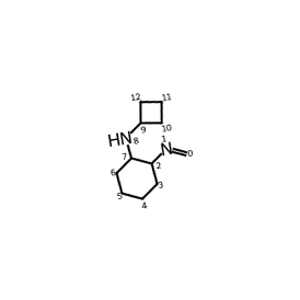 C=NC1CCCCC1NC1CCC1